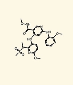 CONC(=O)c1cnc(Nc2cccnc2OC)cc1Nc1ccc(OC)nc1N(C)S(C)(=O)=O